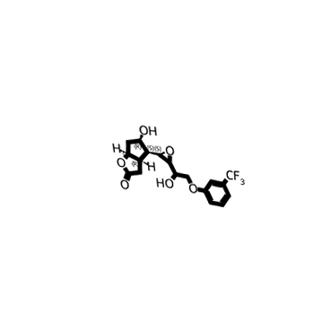 O=C1C[C@@H]2[C@H]([C@@H]3OC3C(O)COc3cccc(C(F)(F)F)c3)[C@H](O)C[C@@H]2O1